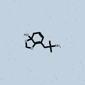 CC(C)(N)CC1=C2OCOC2(O)[CH]C=C1